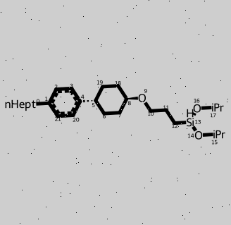 CCCCCCCc1ccc([C@H]2CC[C@H](OCCC[SiH](OC(C)C)OC(C)C)CC2)cc1